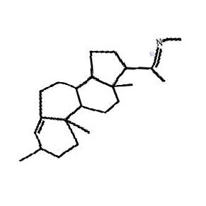 C/N=C(\C)C1CCC2C3CCC4=CC(C)CCC4(C)C3CCC12C